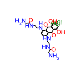 Cl.Cl.NCC(=O)NCCNc1ccc(NCCNC(=O)CN)c2c1C(=O)c1c(O)ccc(O)c1C2=O